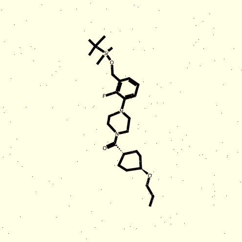 CCCO[C@H]1CC[C@H](C(=O)N2CCN(c3cccc(CO[Si](C)(C)C(C)(C)C)c3F)CC2)CC1